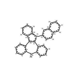 c1ccc2c(c1)Nc1ccccc1-c1c-2c2ccccc2p1-c1ccc2ccccc2c1